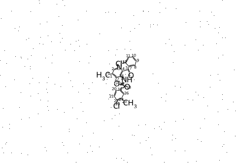 Cc1cnc(C(=O)c2ccccc2Cl)c(NS(=O)(=O)c2ccc(Cl)c(C)c2)c1